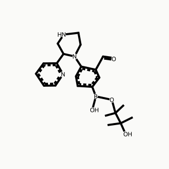 CC(C)(O)C(C)(C)OB(O)c1ccc(N2CCNCC2c2ccccn2)c(C=O)c1